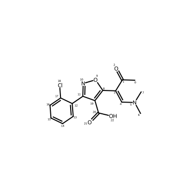 CC(=O)C(=CN(C)C)c1onc(-c2ccccc2Cl)c1C(=O)O